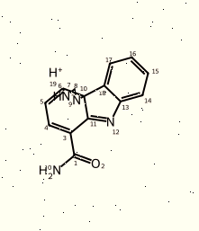 NC(=O)C1=CC=C2NC=NC23C1=Nc1ccccc13.[H+]